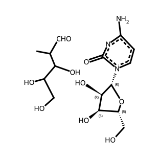 CC(C=O)C(O)C(O)CO.Nc1ccn([C@@H]2O[C@H](CO)[C@@H](O)[C@H]2O)c(=O)n1